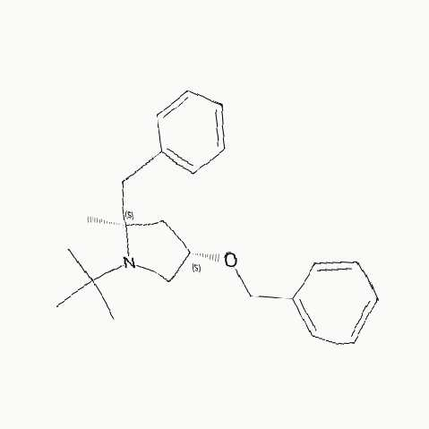 CC(C)(C)N1C[C@@H](OCc2ccccc2)C[C@]1(C)Cc1ccccc1